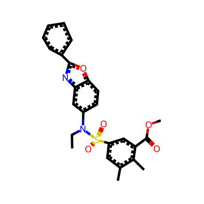 CCN(c1ccc2oc(-c3ccccc3)nc2c1)S(=O)(=O)c1cc(C)c(C)c(C(=O)OC)c1